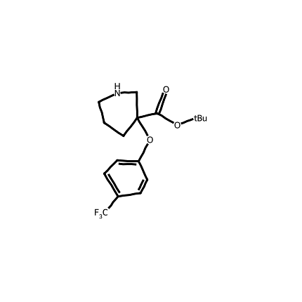 CC(C)(C)OC(=O)C1(Oc2ccc(C(F)(F)F)cc2)CCCNC1